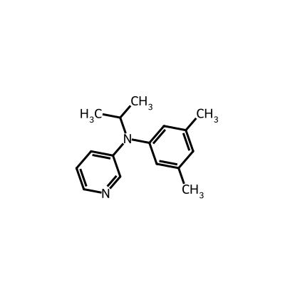 Cc1cc(C)cc(N(c2cccnc2)C(C)C)c1